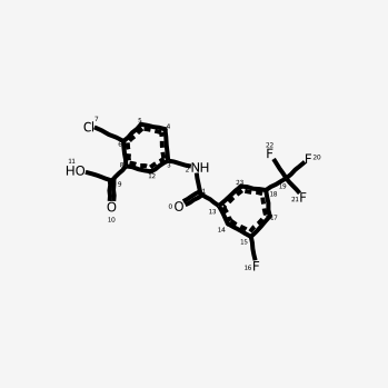 O=C(Nc1ccc(Cl)c(C(=O)O)c1)c1cc(F)cc(C(F)(F)F)c1